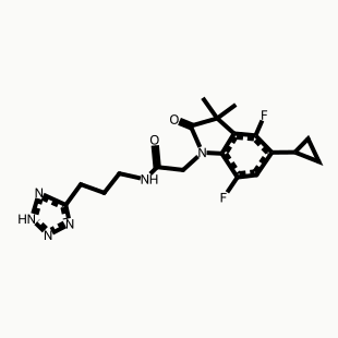 CC1(C)C(=O)N(CC(=O)NCCCc2nn[nH]n2)c2c(F)cc(C3CC3)c(F)c21